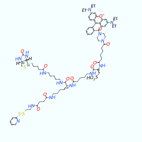 CCN(CC)c1ccc2c(-c3ccccc3C(=O)N3CCN(C(=O)CCCCC(=O)N[C@@H](CS(=O)(=O)O)C(=O)NCCCCC(=O)N[C@@H](CCCCNC(=O)CCC(=O)NCCSSc4ccccn4)C(=O)NCCCCCNC(=O)CCCC[C@@H]4SC[C@@H]5NC(=O)N[C@@H]54)CC3)c3ccc(N(CC)CC)cc3[o+]c2c1